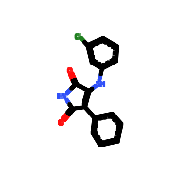 O=C1NC(=O)C(c2ccccc2)=C1Nc1cccc(Cl)c1